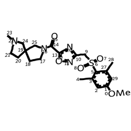 COc1cc(C)c(S(=O)(=O)Cc2noc(C(=O)N3CCC4(CCN(C)C4)C3)n2)c(C)c1